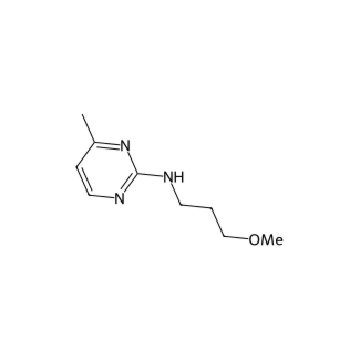 COCCCNc1nccc(C)n1